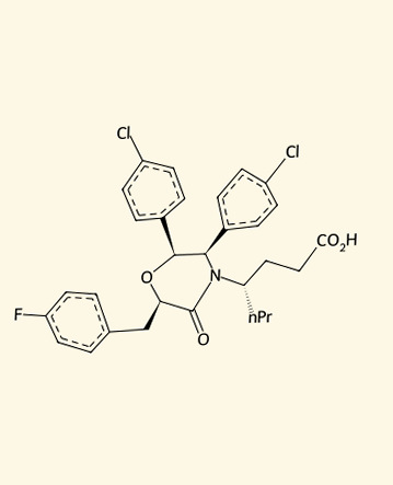 CCC[C@@H](CCC(=O)O)N1C(=O)[C@@H](Cc2ccc(F)cc2)O[C@@H](c2ccc(Cl)cc2)[C@H]1c1ccc(Cl)cc1